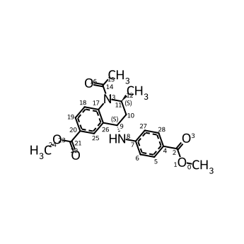 COC(=O)c1ccc(N[C@H]2C[C@H](C)N(C(C)=O)c3ccc(C(=O)OC)cc32)cc1